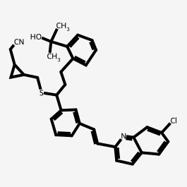 CC(C)(O)c1ccccc1CCC(SCC1CC1CC#N)c1cccc(C=Cc2ccc3ccc(Cl)cc3n2)c1